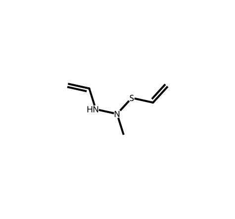 C=CNN(C)SC=C